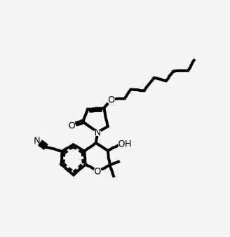 CCCCCCCCOC1=CC(=O)N(C2c3cc(C#N)ccc3OC(C)(C)C2O)C1